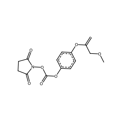 C=C(COC)Oc1ccc(OC(=O)ON2C(=O)CCC2=O)cc1